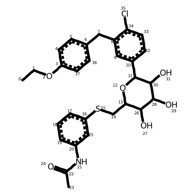 CCOc1ccc(Cc2cc(C3OC(CSc4cccc(NC(C)=O)c4)C(O)C(O)C3O)ccc2Cl)cc1